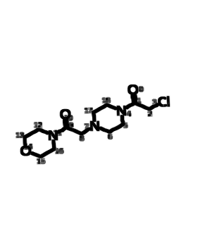 O=C(CCl)N1CCN(CC(=O)N2CCOCC2)CC1